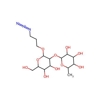 CC1OC(OC2C(OCCCN=[N+]=[N-])OC(CO)C(O)C2O)C(O)C(O)C1O